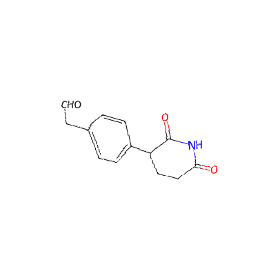 O=CCc1ccc(C2CCC(=O)NC2=O)cc1